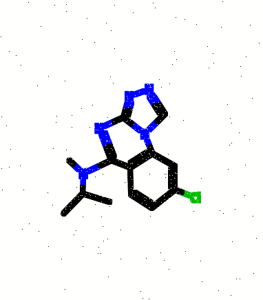 CC(C)N(C)c1nc2nncn2c2cc(Cl)ccc12